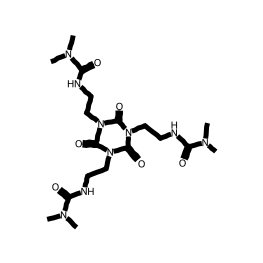 CN(C)C(=O)NCCn1c(=O)n(CCNC(=O)N(C)C)c(=O)n(CCNC(=O)N(C)C)c1=O